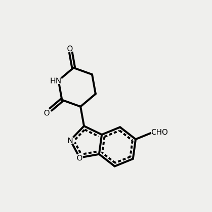 O=Cc1ccc2onc(C3CCC(=O)NC3=O)c2c1